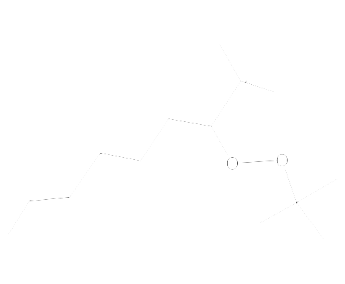 CCCCCCC(OOC(C)(C)C)[C](C)C